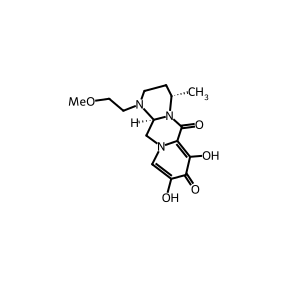 COCCN1CC[C@H](C)N2C(=O)c3c(O)c(=O)c(O)cn3C[C@@H]12